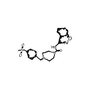 CS(=O)(=O)c1ccc(CN2CCN(C(=O)Nc3noc4ccccc34)CC2)cc1